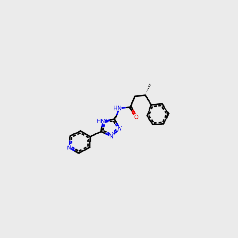 C[C@@H](CC(=O)Nc1nnc(-c2ccncc2)[nH]1)c1ccccc1